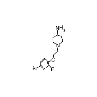 NC1CCN(CCOc2ccc(Br)cc2F)CC1